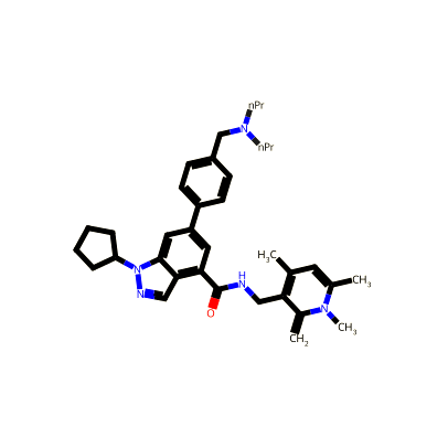 C=C1C(CNC(=O)c2cc(-c3ccc(CN(CCC)CCC)cc3)cc3c2cnn3C2CCCC2)=C(C)C=C(C)N1C